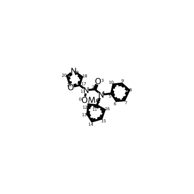 CON(C(=O)N(c1ccccc1)c1ccccc1)c1cnco1